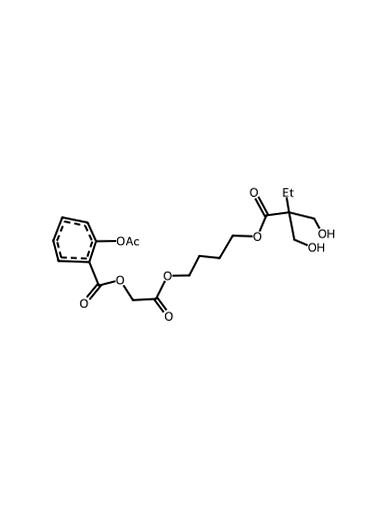 CCC(CO)(CO)C(=O)OCCCCOC(=O)COC(=O)c1ccccc1OC(C)=O